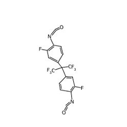 O=C=Nc1ccc(C(c2ccc(N=C=O)c(F)c2)(C(F)(F)F)C(F)(F)F)cc1F